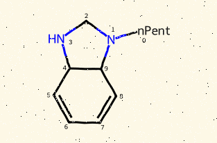 CCCCCN1[C]NC2C=CC=CC21